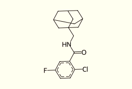 O=C(NCC12CC3CC(CC(C3)C1)C2)c1cc(F)ccc1Cl